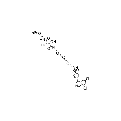 CCCOCCNC(=O)[C@@H](O)[C@H](O)C(=O)NCCOCCOCCOCCNS(=O)(=O)c1ccc([C@@H]2CN(C)Cc3c(Cl)cc(Cl)cc32)cc1